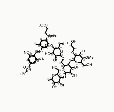 CCCCN(CCOC(C)=O)c1ccc(N=Nc2c(C#N)cc([N+](=O)[O-])cc2C#N)c(C)c1.COC1C(CO)OC(OCC2OC(OC3C(CO)OC(C)C(O)C3O)C(O)C(O)C2OC2OC(CO)C(OC)C(O)C2OCCO)C(O)C1O.[CH2]CCO